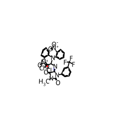 CN1C(=O)/C(=N\C(N(c2ccccc2[N+](=O)[O-])c2ccccc2[N+](=O)[O-])C(Cl)(Cl)Cl)N(c2cccc(C(F)(F)F)c2)C1=O